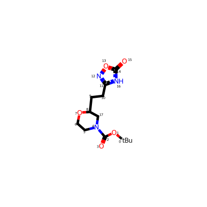 CC(C)(C)OC(=O)N1CCOC(CCc2noc(=O)[nH]2)C1